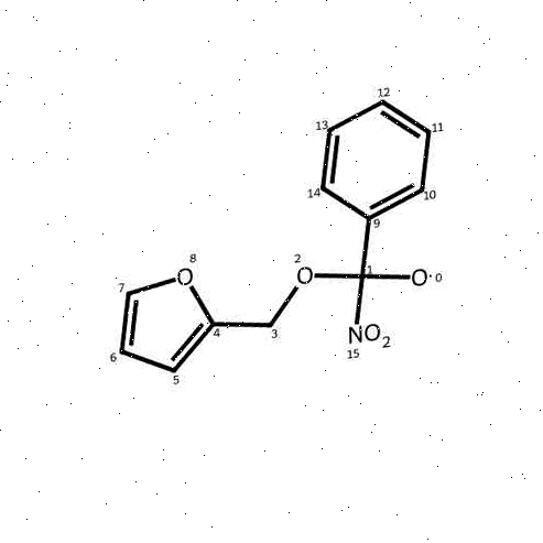 [O]C(OCc1ccco1)(c1ccccc1)[N+](=O)[O-]